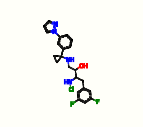 OC(CNC1(c2cccc(-n3cccn3)c2)CC1)C(Cc1cc(F)cc(F)c1)NCl